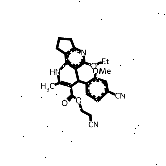 CCOc1nc2c(c3c1C(c1ccc(C#N)cc1OC)C(C(=O)OCCC#N)=C(C)N3)CCC2